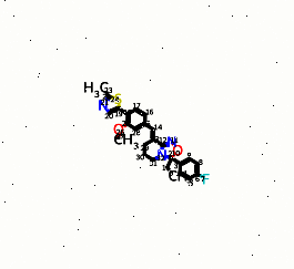 CCC1(c2ccc(F)cc2)ON=C2/C(=C/c3ccc(-c4cnc(C)s4)c(OC)c3)CCCN21